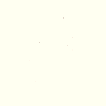 CNc1ncc(-c2nc3ccc(C4CN(C(C)=O)C4)cc3o2)c2cc(NC(=O)C3CC3)ncc12